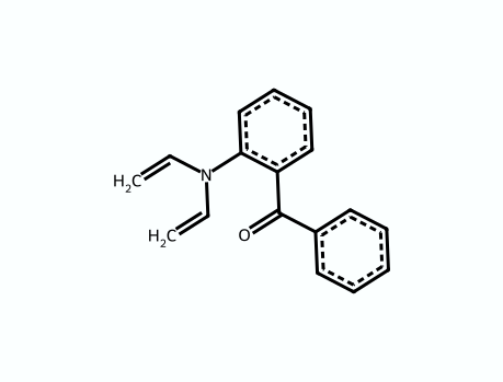 C=CN(C=C)c1ccccc1C(=O)c1ccccc1